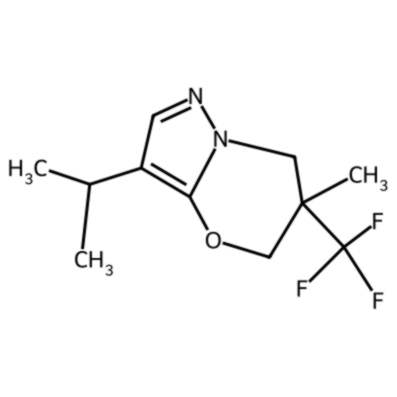 CC(C)c1cnn2c1OCC(C)(C(F)(F)F)C2